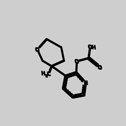 CC1(c2cccnc2OC(=O)O)CCCOC1